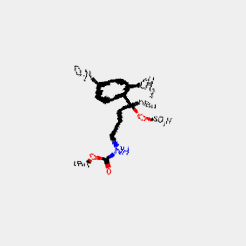 CCCCC(CCCNC(=O)OC(C)(C)C)(OS(=O)(=O)O)c1ccc([N+](=O)[O-])cc1C